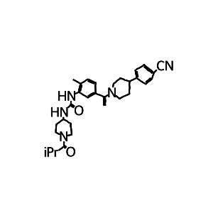 C=C(c1ccc(C)c(NC(=O)NC2CCN(C(=O)C(C)C)CC2)c1)N1CCC(c2ccc(C#N)cc2)CC1